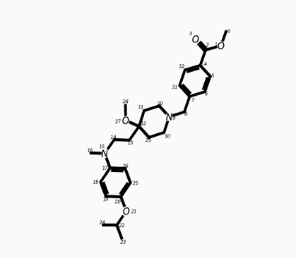 COC(=O)c1ccc(CN2CCC(CCN(C)c3ccc(OC(C)C)cc3)(OC)CC2)cc1